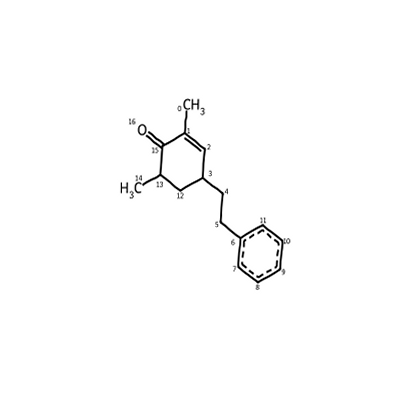 CC1=CC(CCc2ccccc2)CC(C)C1=O